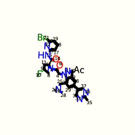 CC(=O)c1nn(CC(=O)N2C[C@H](F)C[C@H]2C(=O)Nc2cccc(Br)n2)c2c(CN(C)C)cc(-c3cnc(C)nc3)cc12